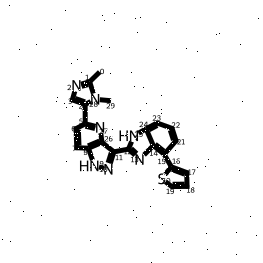 Cc1ncc(-c2ccc3[nH]nc(-c4nc5c(-c6cccs6)cccc5[nH]4)c3n2)n1C